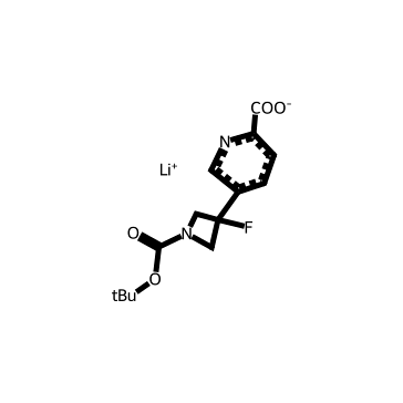 CC(C)(C)OC(=O)N1CC(F)(c2ccc(C(=O)[O-])nc2)C1.[Li+]